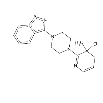 CC1(Cl)CC=CN=C1N1CCN(c2nsc3ccccc23)CC1